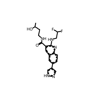 CC(O)CCNC(=O)c1cc2cc(-c3cn[nH]c3)ccc2nc1NCC(F)F